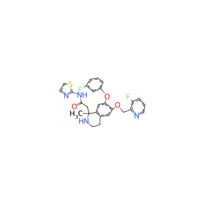 CC1(CC(=O)Nc2nccs2)NCCc2cc(OCc3ncccc3F)c(Oc3cccc(F)c3)cc21